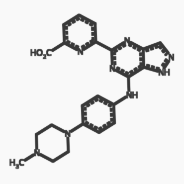 CN1CCN(c2ccc(Nc3nc(-c4cccc(C(=O)O)n4)nc4cn[nH]c34)cc2)CC1